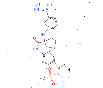 N=C(NO)c1cccc(NC2(C(=O)Nc3ccc(-c4ccccc4S(N)(=O)=O)cc3)CCCC2)c1